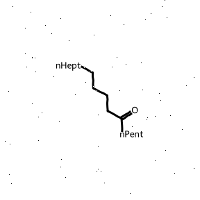 CCCCCCCCCCCC(=O)CCCCC